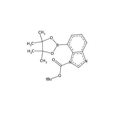 CC(C)(C)OC(=O)n1cnc2cccc(B3OC(C)(C)C(C)(C)O3)c21